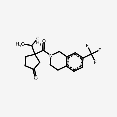 CC(C)C1(C(=O)N2CCc3ccc(C(F)(F)F)cc3C2)CCC(=O)C1